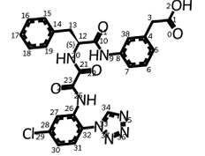 O=C(O)Cc1cccc(NC(=O)[C@H](Cc2ccccc2)NC(=O)C(=O)Nc2cc(Cl)ccc2-n2cnnn2)c1